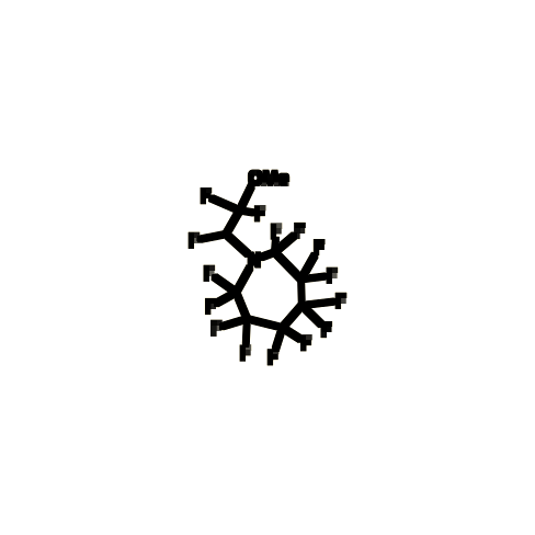 COC(F)(F)C(F)N1C(F)(F)C(F)(F)C(F)(F)C(F)(F)C(F)(F)C1(F)F